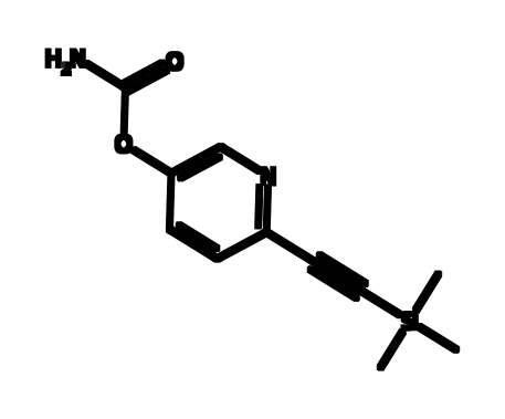 C[Si](C)(C)C#Cc1ccc(OC(N)=O)cn1